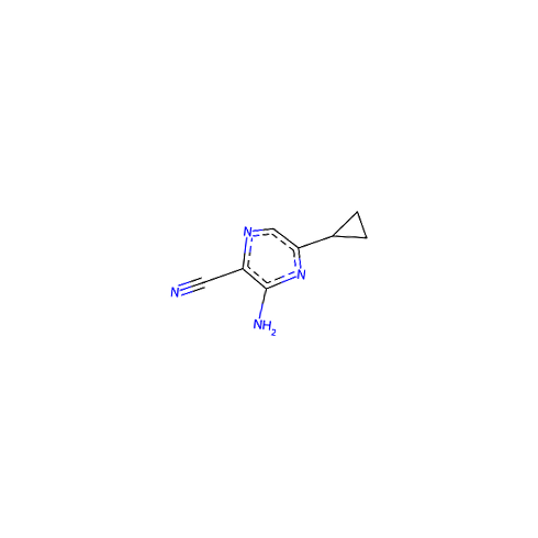 N#Cc1ncc(C2CC2)nc1N